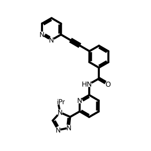 CC(C)n1cnnc1-c1cccc(NC(=O)c2cccc(C#Cc3cccnn3)c2)n1